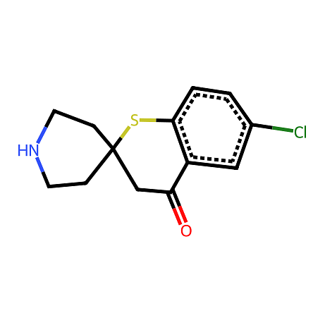 O=C1CC2(CCNCC2)Sc2ccc(Cl)cc21